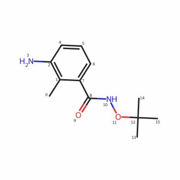 Cc1c(N)cccc1C(=O)NOC(C)(C)C